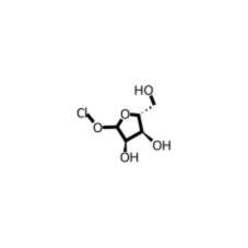 OC[C@H]1OC(OCl)[C@H](O)[C@@H]1O